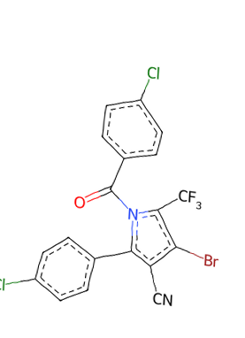 N#Cc1c(Br)c(C(F)(F)F)n(C(=O)c2ccc(Cl)cc2)c1-c1ccc(Cl)cc1